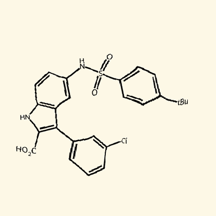 CC(C)(C)c1ccc(S(=O)(=O)Nc2ccc3[nH]c(C(=O)O)c(-c4cccc(Cl)c4)c3c2)cc1